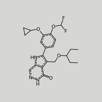 CCC(CC)OCc1c(-c2ccc(OC(F)F)c(OC3CC3)c2)[nH]c2cn[nH]c(=O)c12